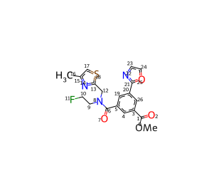 COC(=O)c1cc(C(=O)N(CCF)Cc2nc(C)cs2)cc(-c2ncco2)c1